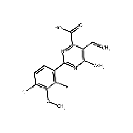 C=Cc1c([AsH2])nc(-c2ccc(Cl)c(OC)c2F)nc1C(=O)O